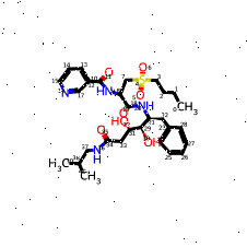 CCCCS(=O)(=O)CC(NC(=O)c1cccnc1)C(=O)N[C@@H](Cc1ccccc1)[C@@H](O)[C@H](O)CC(=O)NCC(C)C